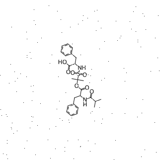 CC(C)C(=O)NC(Cc1ccccc1)C(=O)OC(C)(C)S(=O)(=O)NC(Cc1ccccc1)C(=O)O